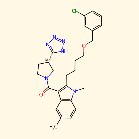 Cn1c(CCCCOCc2cccc(Cl)c2)c(C(=O)N2CC[C@H](c3nnn[nH]3)C2)c2cc(C(F)(F)F)ccc21